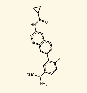 Cc1ccc(N(N)C=O)cc1-c1ccc2cc(NC(=O)C3CC3)ncc2c1